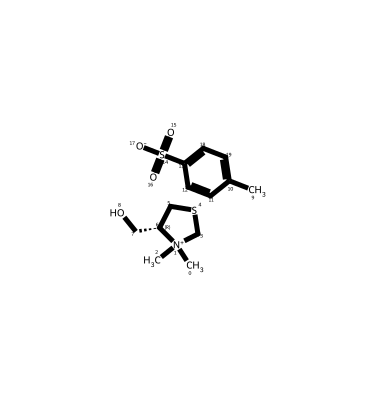 C[N+]1(C)CSC[C@H]1CO.Cc1ccc(S(=O)(=O)[O-])cc1